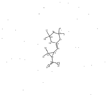 CC1(C)CC(=CC2C(C(=O)Cl)C2(C)C)CC(C)(C)C1